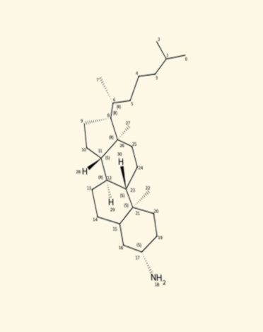 CC(C)CCC[C@@H](C)[C@H]1CC[C@H]2[C@@H]3CCC4C[C@@H](N)CC[C@]4(C)[C@H]3CC[C@]12C